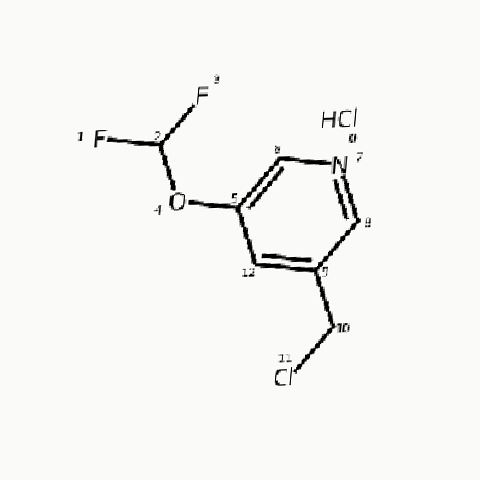 Cl.FC(F)Oc1cncc(CCl)c1